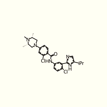 CC(C)c1cnc(-c2cc(NC(=O)c3ccc(N4C[C@@H](C)N(C)[C@@H](C)C4)cc3Cl)ccc2Cl)[nH]1